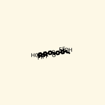 CCCC(O)c1ccc(C2CCC(C(=O)OC3CCC(c4ccc(-c5ccc(O)c(F)c5F)c(F)c4F)CC3)CC2)c(F)c1F